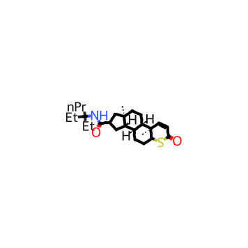 CCCC(CC)(CC)NC(=O)C1C[C@H]2[C@@H]3CCC4SC(=O)C=C[C@]4(C)[C@@H]3CC[C@]2(C)C1